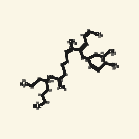 C=C(CCC\C=C(C)/C(=C\C=C/C)CC(/C=C\CC)CNC)NC(CCC)CCCC